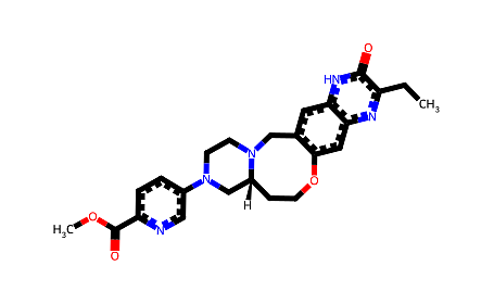 CCc1nc2cc3c(cc2[nH]c1=O)CN1CCN(c2ccc(C(=O)OC)nc2)C[C@H]1CCO3